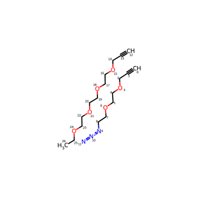 C#CCOCCOCCN=[N+]=[N-].C#CCOCCOCCOCCOCC